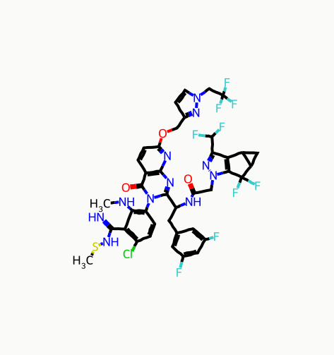 CNc1c(-n2c(C(Cc3cc(F)cc(F)c3)NC(=O)Cn3nc(C(F)F)c4c3C(F)(F)C3CC43)nc3nc(OCc4ccn(CC(F)(F)F)n4)ccc3c2=O)ccc(Cl)c1C(=N)NSC